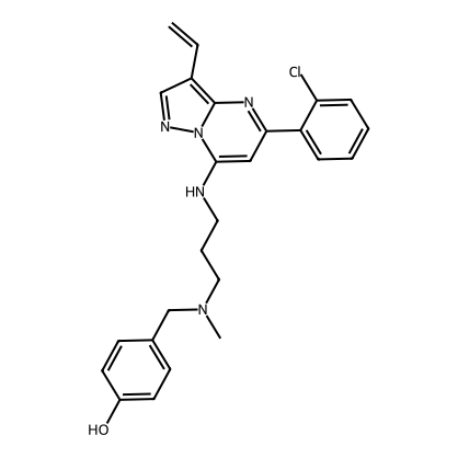 C=Cc1cnn2c(NCCCN(C)Cc3ccc(O)cc3)cc(-c3ccccc3Cl)nc12